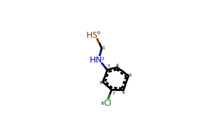 SCNc1cccc(Cl)c1